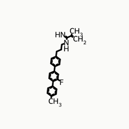 C=C(C)C(=N)NCCCc1ccc(-c2ccc(-c3ccc(C)cc3)c(F)c2)cc1